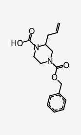 C=CCC1CN(C(=O)OCc2ccccc2)CCN1C(=O)O